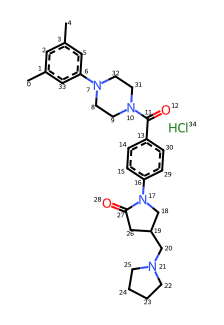 Cc1cc(C)cc(N2CCN(C(=O)c3ccc(N4CC(CN5CCCC5)CC4=O)cc3)CC2)c1.Cl